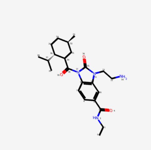 CCNC(=O)c1ccc2c(c1)n(CCN)c(=O)n2C(=O)C1C[C@H](C)CC[C@H]1C(C)C